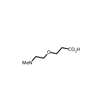 CNCCOCCC(=O)O